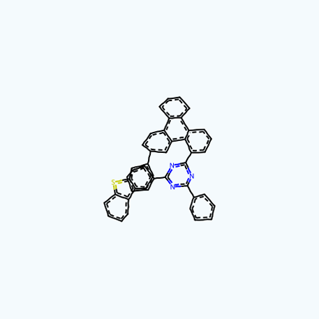 c1ccc(-c2nc(-c3ccccc3)nc(-c3cccc4c5ccccc5c5ccc(-c6ccc7c(c6)sc6ccccc67)cc5c34)n2)cc1